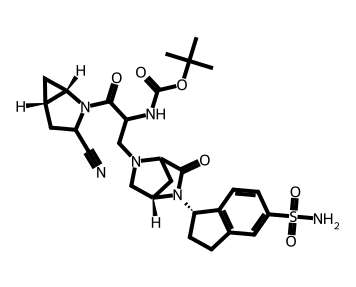 CC(C)(C)OC(=O)NC(CN1C[C@@H]2CC1C(=O)N2[C@H]1CCc2cc(S(N)(=O)=O)ccc21)C(=O)N1C(C#N)C[C@@H]2C[C@@H]21